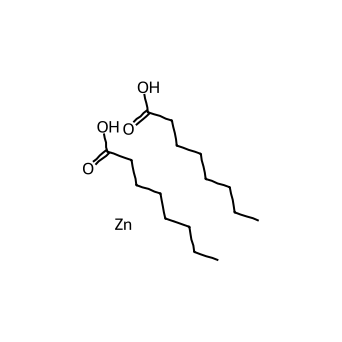 CCCCCCCC(=O)O.CCCCCCCC(=O)O.[Zn]